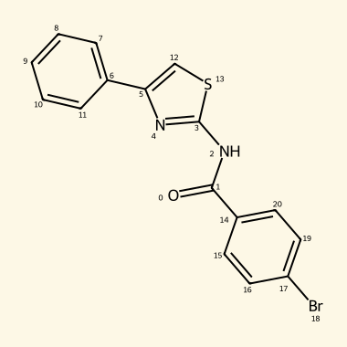 O=C(Nc1nc(-c2ccccc2)cs1)c1ccc(Br)cc1